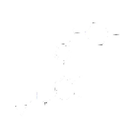 Cc1c(F)cc(C(=O)NC2CC2)cc1-c1ccc(C(=O)N2CCC(C)CC2)s1